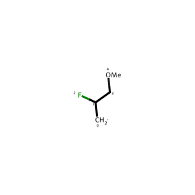 [CH2]C(F)COC